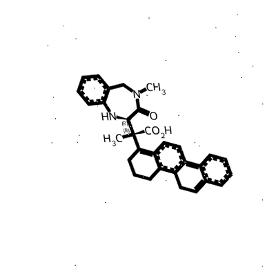 CN1Cc2ccccc2N[C@H]([C@](C)(C(=O)O)C2=c3ccc4c(c3CCC2)CC=c2ccccc2=4)C1=O